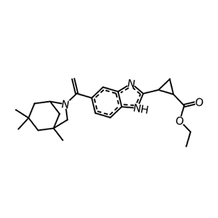 C=C(c1ccc2[nH]c(C3CC3C(=O)OCC)nc2c1)N1CC2(C)CC1CC(C)(C)C2